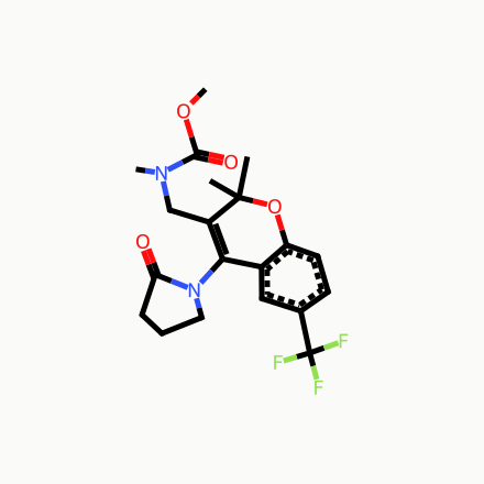 COC(=O)N(C)CC1=C(N2CCCC2=O)c2cc(C(F)(F)F)ccc2OC1(C)C